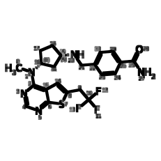 CN(c1ncnc2sc(CC(F)(F)F)cc12)[C@@H]1CC[C@H](NCc2ccc(C(N)=O)cc2)C1